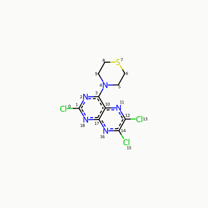 Clc1nc(N2CCSCC2)c2nc(Cl)c(Cl)nc2n1